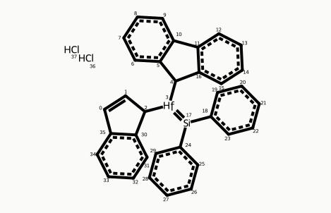 C1=C[CH]([Hf]([CH]2c3ccccc3-c3ccccc32)=[Si](c2ccccc2)c2ccccc2)c2ccccc21.Cl.Cl